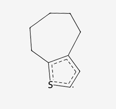 [c]1cc2c(s1)CCCCC2